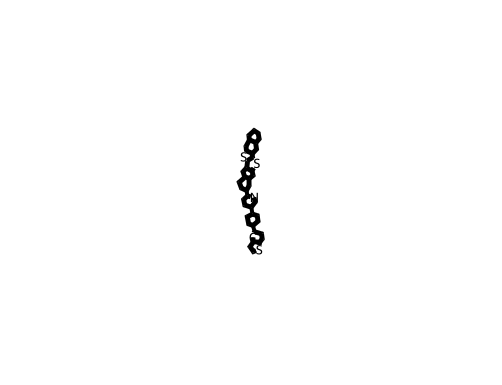 c1ccc2cc3c(cc2c1)sc1c2cc4ccc(-c5ccc(-c6ccc(-c7ccc8sccc8c7)cc6)cn5)cc4cc2sc31